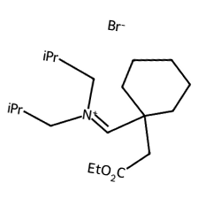 CCOC(=O)CC1(C=[N+](CC(C)C)CC(C)C)CCCCC1.[Br-]